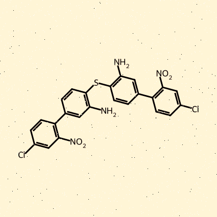 Nc1cc(-c2ccc(Cl)cc2[N+](=O)[O-])ccc1Sc1ccc(-c2ccc(Cl)cc2[N+](=O)[O-])cc1N